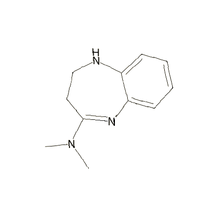 CN(C)C1=Nc2ccccc2NCC1